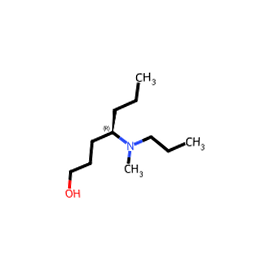 CCC[C@H](CCCO)N(C)CCC